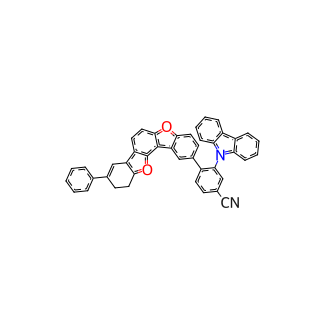 N#Cc1ccc(-c2ccc3oc4ccc5c6c(oc5c4c3c2)CCC(c2ccccc2)=C6)c(-n2c3ccccc3c3ccccc32)c1